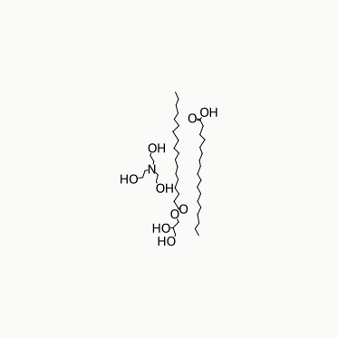 CCCCCCCCCCCCCCCCCC(=O)O.CCCCCCCCCCCCCCCCCC(=O)OCC(O)CO.OCCN(CCO)CCO